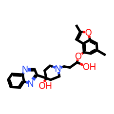 Cc1cc(OC(O)CCN2CCC(O)(c3cnc4ccccc4n3)CC2)c2cc(C)oc2c1